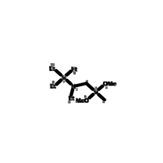 CCN(C[Si](C)(OC)OC)[Si](CC)(CC)CC